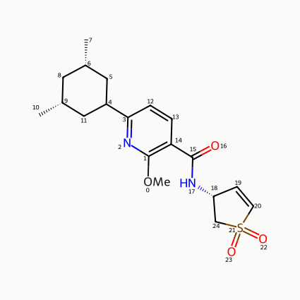 COc1nc(C2C[C@@H](C)C[C@@H](C)C2)ccc1C(=O)N[C@@H]1C=CS(=O)(=O)C1